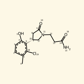 Cc1ccc(O)c([C@@H]2CC(=O)N(CCC(N)=O)C2)c1Cl